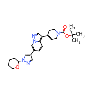 CC(C)(C)OC(=O)N1CC=C(c2cnn3cc(-c4cnn([C@H]5CCCCO5)c4)ccc23)CC1